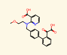 COCCN(Cc1ccc(-c2ccccc2C(=O)C(=O)O)cc1)c1ncccc1C(=O)O